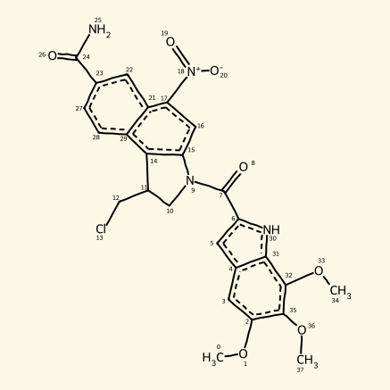 COc1cc2cc(C(=O)N3CC(CCl)c4c3cc([N+](=O)[O-])c3cc(C(N)=O)ccc43)[nH]c2c(OC)c1OC